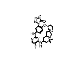 Cn1nnn(-c2cc(Nc3ncc(F)c(NC4CC5CCCN5C(C)(C)C4)n3)ccc2O[C@H]2CCOC2)c1=O